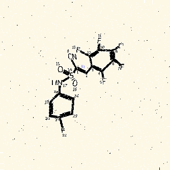 N#C/C(=C\c1c(F)c(F)c(F)c(F)c1F)S(=O)(=O)Nc1ccc(F)cc1